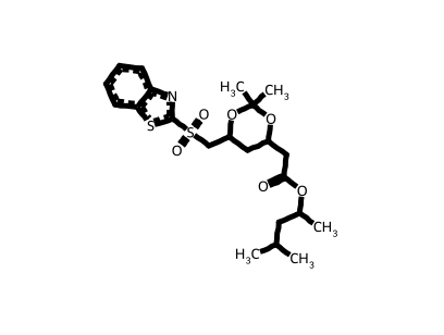 CC(C)CC(C)OC(=O)CC1CC(CS(=O)(=O)c2nc3ccccc3s2)OC(C)(C)O1